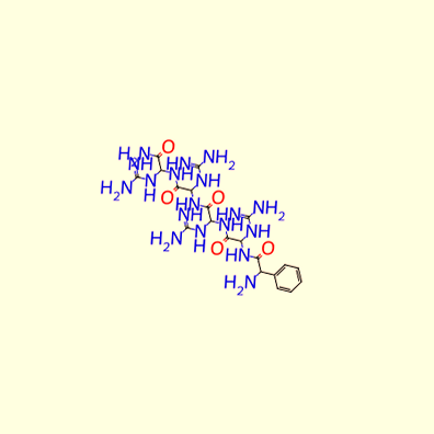 N=C(N)NC(NC(=O)C(NC(=N)N)NC(=O)C(NC(=N)N)NC(=O)C(NC(=N)N)NC(=O)C(N)c1ccccc1)C(N)=O